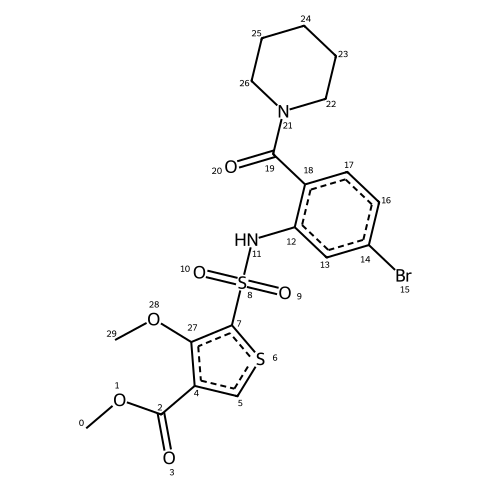 COC(=O)c1csc(S(=O)(=O)Nc2cc(Br)ccc2C(=O)N2CCCCC2)c1OC